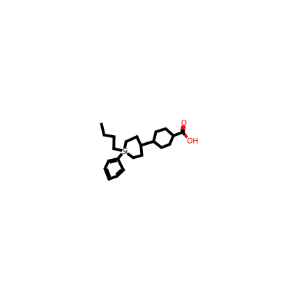 CCCC[Si]1(c2ccccc2)CCC(C2CCC(C(=O)O)CC2)CC1